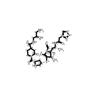 C[C@@H](NC(=O)Cn1cnnn1)[C@H]1C(=O)N2C(C(=O)O)=C(S[C@@H]3CN[C@H](C(=O)N4CCC(C(=O)NCC(O)CN)CC4)C3)[C@H](C)[C@H]12